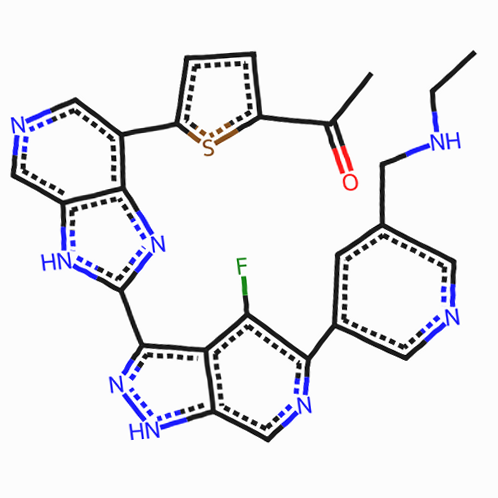 CCNCc1cncc(-c2ncc3[nH]nc(-c4nc5c(-c6ccc(C(C)=O)s6)cncc5[nH]4)c3c2F)c1